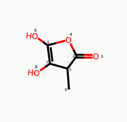 CC1C(=O)OC(O)=C1O